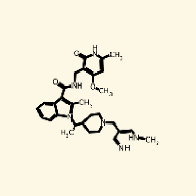 CN/C=C(\C=N)CN1CCC([C@@H](C)n2c(C)c(C(=O)NCc3c(OC)cc(C)[nH]c3=O)c3ccccc32)CC1